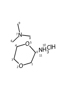 C1COCCO1.CN(C)C.Cl.N